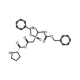 CCCCC(NC(=O)OCc1ccccc1)P(=O)(CC(=O)OC(=O)[C@@H]1CCCN1)OCc1ccccc1